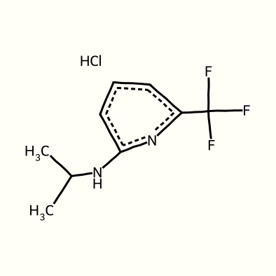 CC(C)Nc1cccc(C(F)(F)F)n1.Cl